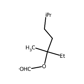 CCC(C)(CCC(C)C)O[C]=O